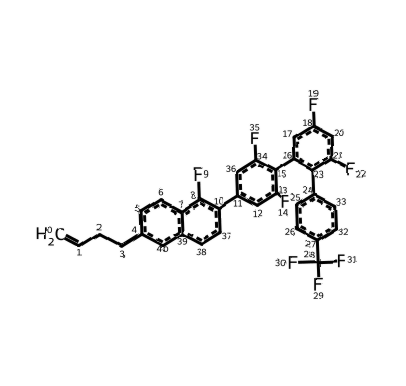 C=CCCc1ccc2c(F)c(-c3cc(F)c(-c4cc(F)cc(F)c4-c4ccc(C(F)(F)F)cc4)c(F)c3)ccc2c1